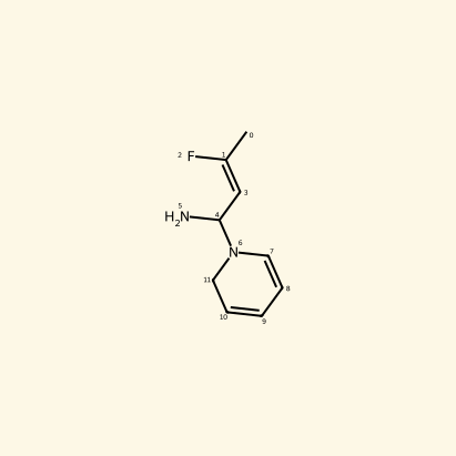 CC(F)=CC(N)N1C=CC=CC1